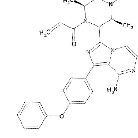 C=CC(=O)N1C(c2nc(-c3ccc(Oc4ccccc4)cc3)c3c(N)nccn23)[C@H](C)N(C(C)=O)C[C@@H]1C